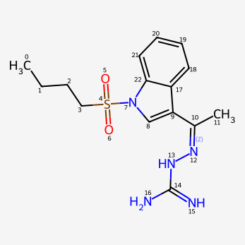 CCCCS(=O)(=O)n1cc(/C(C)=N\NC(=N)N)c2ccccc21